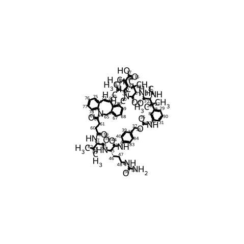 CN[C@H](C(=O)N[C@H](C(=O)N(C)[C@H](/C=C(\C)C(=O)O)C(C)C)C(C)(C)C)C(C)(C)c1cccc(NC(=O)OCc2ccc(NC(=O)[C@H](CCCNC(N)=O)NC(=O)[C@@H](NC(=O)CCC(=O)N3Cc4ccccc4/C=C\c4ccccc43)C(C)C)cc2)c1